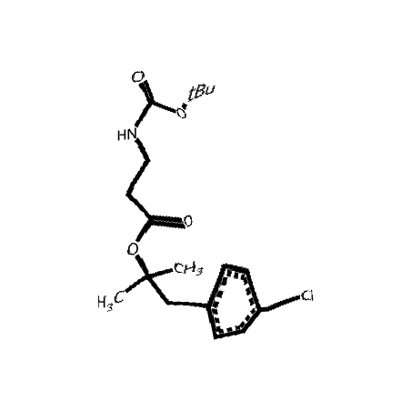 CC(C)(C)OC(=O)NCCC(=O)OC(C)(C)Cc1ccc(Cl)cc1